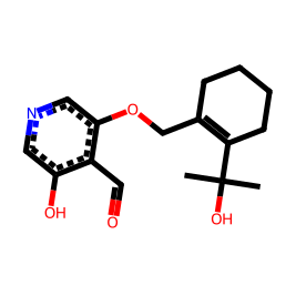 CC(C)(O)C1=C(COc2cncc(O)c2C=O)CCCC1